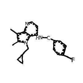 Cc1c(C)n(CC2CC2)c2c(NCc3ccc(F)cc3)ccnc12